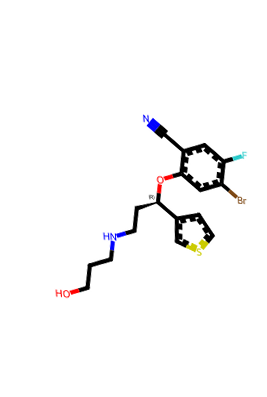 N#Cc1cc(F)c(Br)cc1O[C@H](CCNCCCO)c1ccsc1